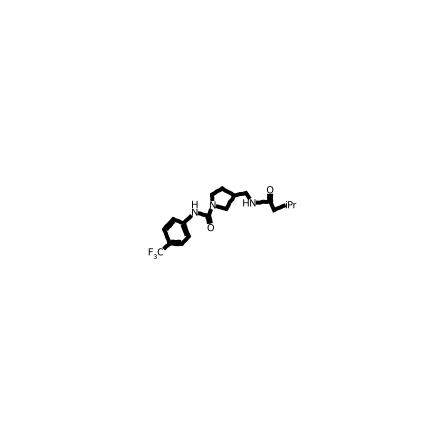 CC(C)CC(=O)NCC1CCN(C(=O)Nc2ccc(C(F)(F)F)cc2)C1